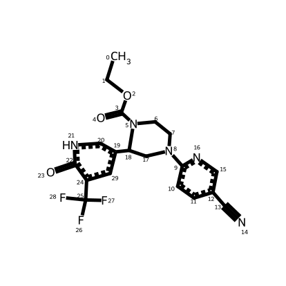 CCOC(=O)N1CCN(c2ccc(C#N)cn2)CC1c1c[nH]c(=O)c(C(F)(F)F)c1